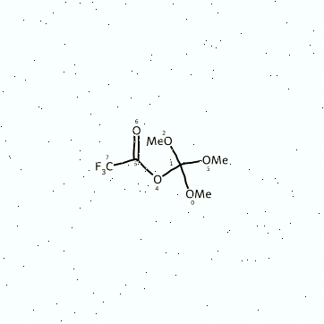 COC(OC)(OC)OC(=O)C(F)(F)F